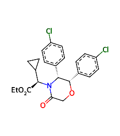 CCOC(=O)[C@@H](C1CC1)N1C(=O)CO[C@@H](c2ccc(Cl)cc2)[C@H]1c1ccc(Cl)cc1